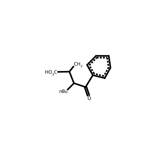 CCCCC(C(=O)c1ccccc1)C(C)C(=O)O